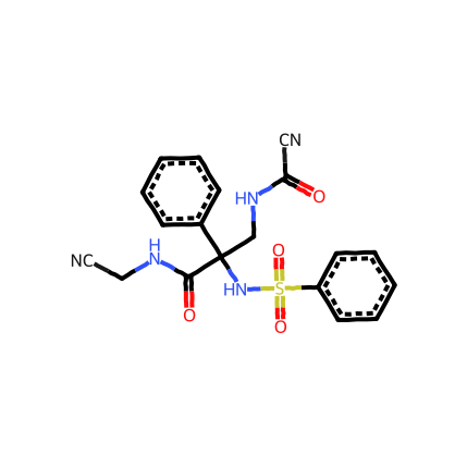 N#CCNC(=O)C(CNC(=O)C#N)(NS(=O)(=O)c1ccccc1)c1ccccc1